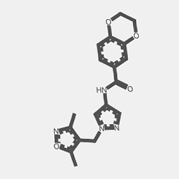 Cc1noc(C)c1Cn1cc(NC(=O)c2ccc3c(c2)OCCO3)cn1